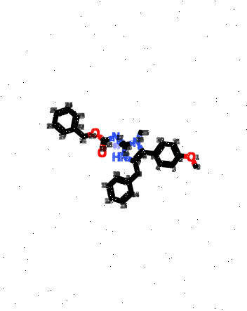 COc1ccc(-c2c(Cc3ccccc3)[nH]/c(=N\C(=O)OCc3ccccc3)n2C)cc1